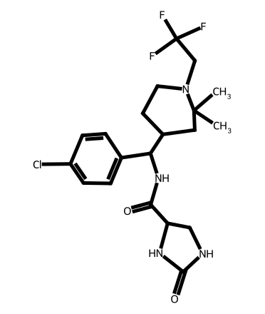 CC1(C)CC(C(NC(=O)C2CNC(=O)N2)c2ccc(Cl)cc2)CCN1CC(F)(F)F